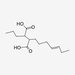 CCC=CCCCC(C(=O)O)C(CCC)C(=O)O